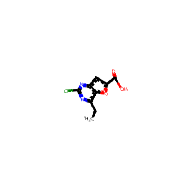 CCc1nc(Cl)nc2cc(C(=O)O)oc12